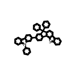 c1ccc(-n2c3ccccc3c3ccc(-c4ccc5c(c4)C(c4ccccc4)(c4ccccc4)c4ccc6c(sc7ccccc76)c4-5)cc32)cc1